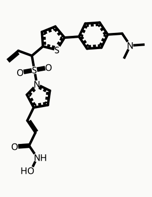 C=CC(c1ccc(-c2ccc(CN(C)C)cc2)s1)S(=O)(=O)n1ccc(/C=C/C(=O)NO)c1